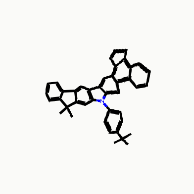 CC(C)(C)c1ccc(-n2c3cc4c(cc3c3cc5c6c(c7ccccc7c5cc32)C=C=C6)-c2ccccc2C4(C)C)cc1